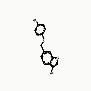 CC(=O)c1coc2cc(COc3ccc(O)cc3)ccc12